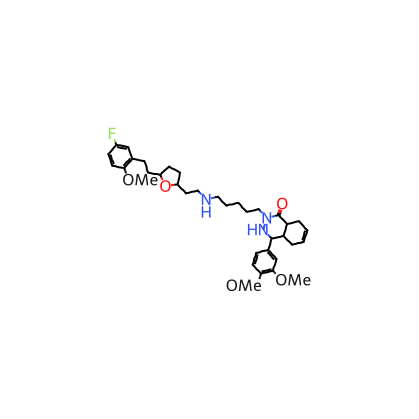 COc1ccc(F)cc1CCC1CCC(CCNCCCCCN2NC(c3ccc(OC)c(OC)c3)C3CC=CCC3C2=O)O1